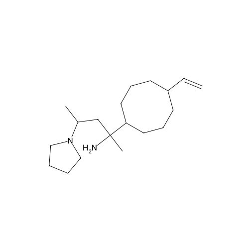 C=CC1CCCC(C(C)(N)CC(C)N2CCCC2)CCC1